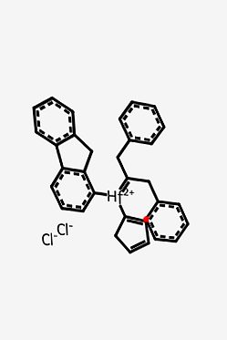 C1=CC[C]([Hf+2](=[C](Cc2ccccc2)Cc2ccccc2)[c]2cccc3c2Cc2ccccc2-3)=C1.[Cl-].[Cl-]